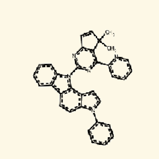 CC1(C)C=Cc2nc(-n3c4ccccc4c4ccc5c(ccn5-c5ccccc5)c43)nc(-c3ccccn3)c21